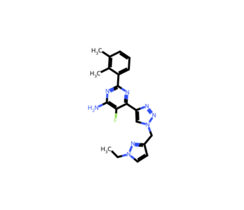 CCn1ccc(Cn2cc(-c3nc(-c4cccc(C)c4C)nc(N)c3F)nn2)n1